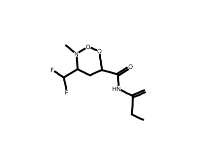 C=C(CC)NC(=O)C1CC(C(F)F)N(C)OO1